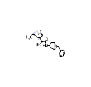 C=C/C(=C\C=C/C)[C@H](O)C(=O)NC1CCN(Cc2ccccc2)CC1